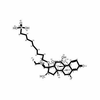 C[C@@H]1C[C@H]2[C@@H]3C[C@H](F)C4=CC(=O)C=C[C@]4(C)[C@@]3(F)[C@@H](O)C[C@]2(C)[C@]1(C=[SH]CF)OC(=O)CCCCCCCCP(=O)(O)O